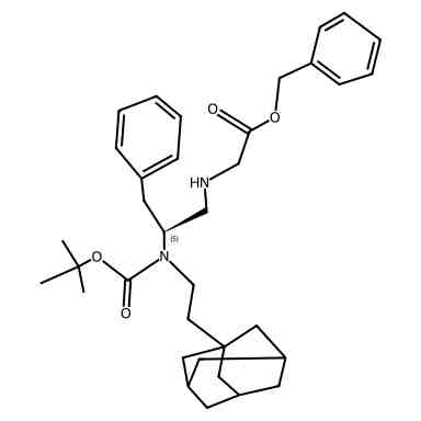 CC(C)(C)OC(=O)N(CCC12CC3CC(CC(C3)C1)C2)[C@H](CNCC(=O)OCc1ccccc1)Cc1ccccc1